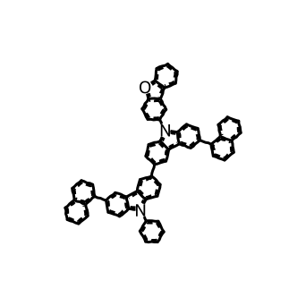 c1ccc(-n2c3ccc(-c4ccc5c(c4)c4cc(-c6cccc7ccccc67)ccc4n5-c4ccc5oc6ccccc6c5c4)cc3c3cc(-c4cccc5ccccc45)ccc32)cc1